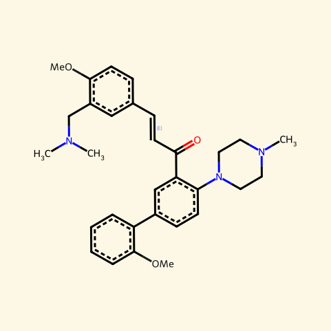 COc1ccc(/C=C/C(=O)c2cc(-c3ccccc3OC)ccc2N2CCN(C)CC2)cc1CN(C)C